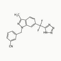 Cc1nn(Cc2cccc(C#N)c2)c2cc(C(F)(F)c3nnn[nH]3)ccc12